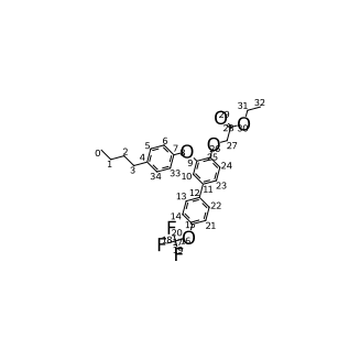 CCCCc1ccc(Oc2cc(-c3ccc(OC(F)(F)F)cc3)ccc2OCC(=O)OCC)cc1